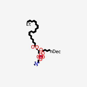 CC/C=C\C/C=C\C/C=C\C/C=C\C/C=C\CCCCCC(=O)OC[C@H](COP(=O)([O-])OCC[N+](C)(C)C)OC(=O)CCCCCCCCCCCCC